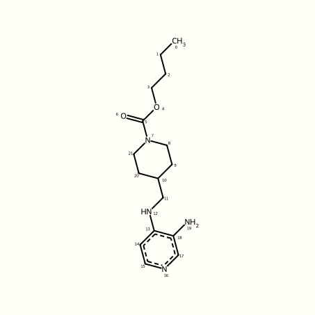 CCCCOC(=O)N1CCC(CNc2ccncc2N)CC1